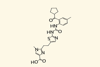 Cc1ccc(NC(=O)Nc2ncc(CCc3nc(C(=O)O)cn3C)s2)c(C(=O)C2CCCC2)c1